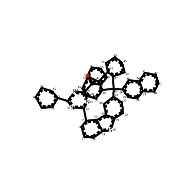 c1ccc(-c2nc(-c3ccccc3)nc(-c3cccc4sc5ccc(C6(c7ccc8ccccc8c7)c7ccccc7-c7ccccc76)cc5c34)n2)cc1